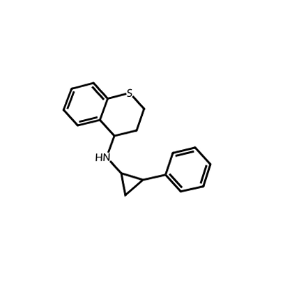 c1ccc(C2CC2NC2CCSc3ccccc32)cc1